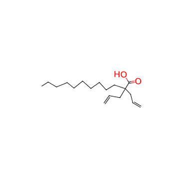 C=CCC(CC=C)(CCCCCCCCCC)C(=O)O